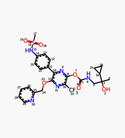 CC(O)(CNC(=O)Oc1nc(-c2ccc(NS(C)(=O)=O)cc2)c(OCc2ccccn2)nc1C(F)(F)F)C1CC1